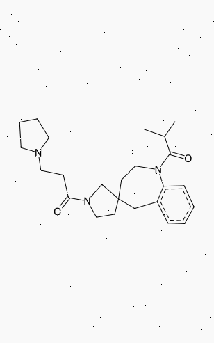 CC(C)C(=O)N1CCC2(CCN(C(=O)CCN3CCCC3)C2)Cc2ccccc21